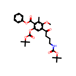 COc1c(C(=O)CCCNC(=O)OC(C)(C)C)cc(OC(=O)OC(C)(C)C)c(C(=O)Oc2ccccc2)c1C